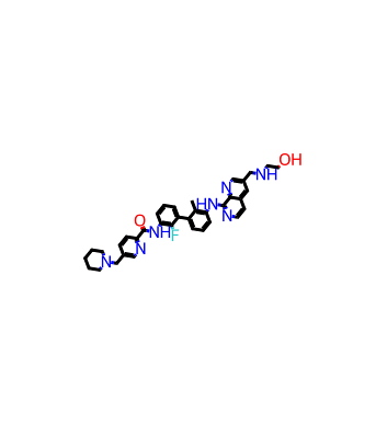 Cc1c(Nc2nccc3cc(CNCCO)cnc23)cccc1-c1cccc(NC(=O)c2ccc(CN3CCCCC3)cn2)c1F